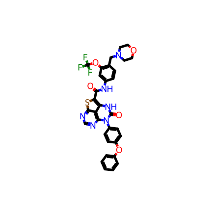 O=C(Nc1ccc(CN2CCOCC2)c(OC(F)(F)F)c1)c1sc2ncnc3c2c1NC(=O)N3c1ccc(Oc2ccccc2)cc1